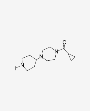 O=C(C1CC1)N1CCN(C2CCN(I)CC2)CC1